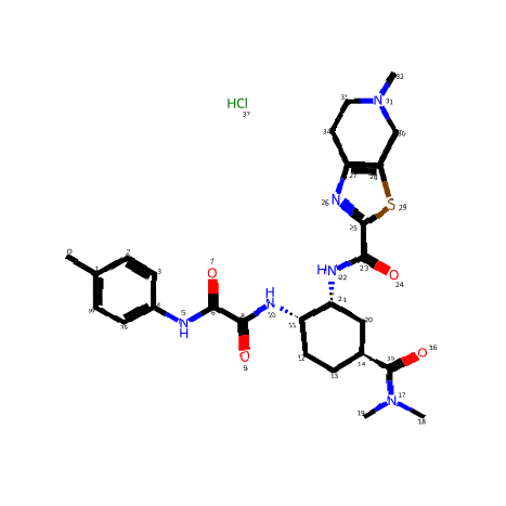 Cc1ccc(NC(=O)C(=O)N[C@H]2CC[C@H](C(=O)N(C)C)C[C@H]2NC(=O)c2nc3c(s2)CN(C)CC3)cc1.Cl